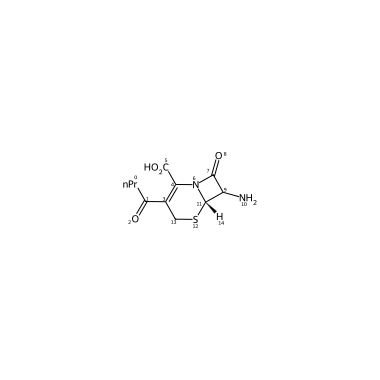 CCCC(=O)C1=C(C(=O)O)N2C(=O)C(N)[C@@H]2SC1